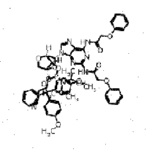 COc1ccc(C(OC[C@@]23CO[C@@H]([C@H](n4cnc5c(NC(=O)COc6ccccc6)nc(NC(=O)COc6ccccc6)nc54)O2)[C@@H]3OP(OCCC#N)N(C(C)C)C(C)C)(c2ccccc2)c2ccc(OC)cc2)cc1